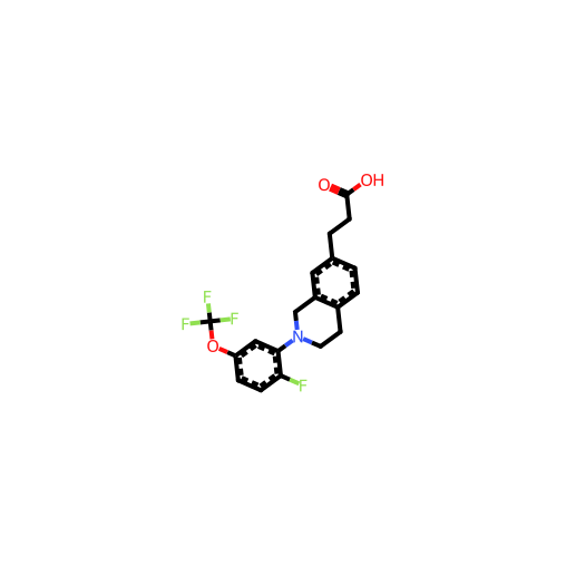 O=C(O)CCc1ccc2c(c1)CN(c1cc(OC(F)(F)F)ccc1F)CC2